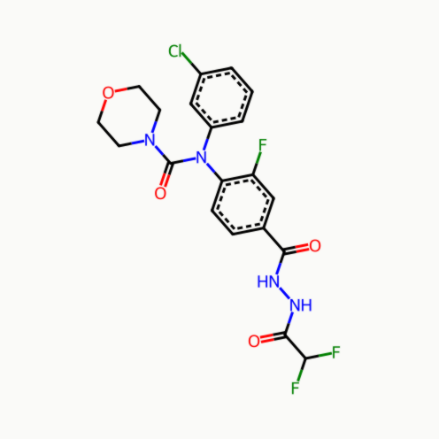 O=C(NNC(=O)C(F)F)c1ccc(N(C(=O)N2CCOCC2)c2cccc(Cl)c2)c(F)c1